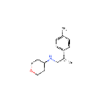 CC(=O)[C@H](CNC1CCOCC1)c1ccc(C(F)(F)F)cc1